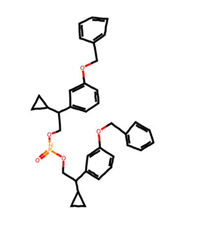 O=[PH](OCC(c1cccc(OCc2ccccc2)c1)C1CC1)OCC(c1cccc(OCc2ccccc2)c1)C1CC1